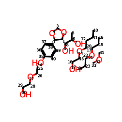 C1COCO1.CC(O)CO.CCCCOCCO.CCCOCCC.CCOCCO.COC.Oc1ccccc1